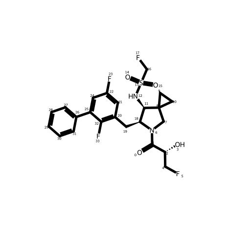 O=C([C@H](O)CF)N1CC2(CC2)[C@H](NS(=O)(=O)CF)[C@@H]1Cc1cc(F)cc(-c2ccccc2)c1F